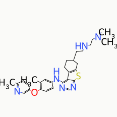 Cc1ccc(Oc2ccc(Nc3ncnc4sc5c(c34)CCC(CCNCCN(C)C)C5)cc2C)cn1